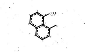 Cc1cccc2cccc(S(=O)(=O)O)c12